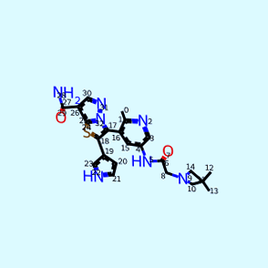 Cc1ncc(NC(=O)CN2CC(C)(C)C2)cc1-c1c(-c2cc[nH]c2)sc2c(C(N)=O)cnn12